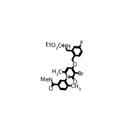 CCOC(=O)NCc1cc(F)ccc1COc1cc(C)n(-c2cc(C(=O)NC)ccc2C)c(=O)c1Br